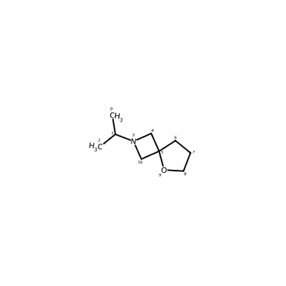 CC(C)N1CC2(CCCO2)C1